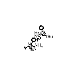 CC(C)(C)c1cc(NC(=O)Nc2ccc(-c3nc(C4CC4)n4ncnc(N)c34)cc2F)n(-c2ccccc2)n1